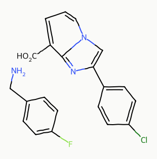 NCc1ccc(F)cc1.O=C(O)c1cccn2cc(-c3ccc(Cl)cc3)nc12